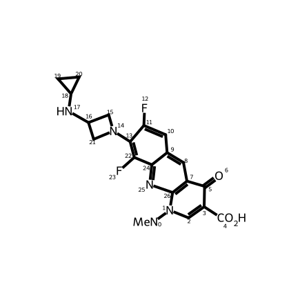 CNn1cc(C(=O)O)c(=O)c2cc3cc(F)c(N4CC(NC5CC5)C4)c(F)c3nc21